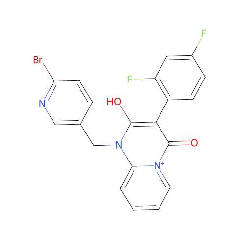 O=c1c(-c2ccc(F)cc2F)c(O)n(Cc2ccc(Br)nc2)c2cccc[n+]12